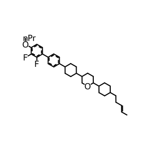 C/C=C/CCC1CCC(C2CCC(C3CCC(c4ccc(-c5ccc(OCCC)c(F)c5F)cc4)CC3)CO2)CC1